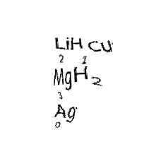 [Ag].[Cu].[LiH].[MgH2]